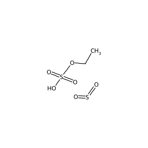 CCOS(=O)(=O)O.O=S=O